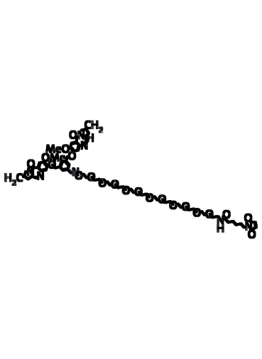 C=C1CC2C=Nc3cc(OCc4cc(/C=N/OCCOCCOCCOCCOCCOCCOCCOCCOCCOCCOCCOCCNC(=O)CCCCCN5C(=O)C=CC5=O)cc(COc5cc6c(cc5OC)C(=O)N5CC(=C)C[C@H]5C=N6)c4)c(OC)cc3C(=O)N2C1